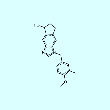 COc1ccc(Cn2cnc3cc4c(cc32)CCC4O)cc1C